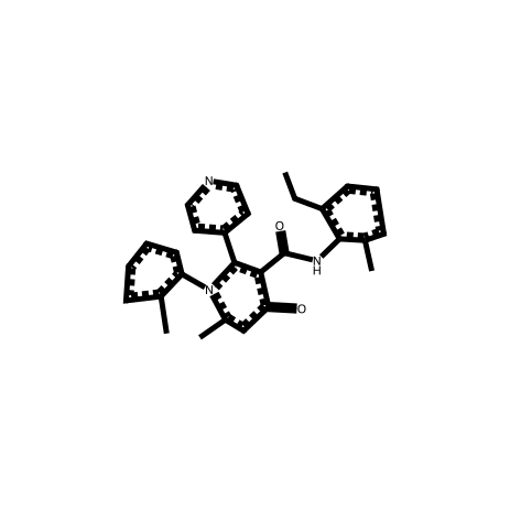 CCc1cccc(C)c1NC(=O)c1c(-c2ccncc2)n(-c2ccccc2C)c(C)cc1=O